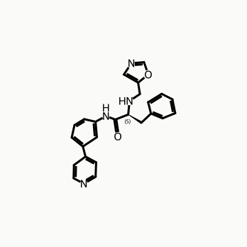 O=C(Nc1cccc(-c2ccncc2)c1)[C@H](Cc1ccccc1)NCc1cnco1